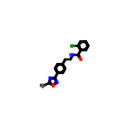 O=C(NCCc1ccc(-c2noc(C(F)(F)F)n2)cc1)c1ccccc1Cl